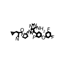 N#CC(=CC1CC1)C(=O)N1CCC[C@H]1Cn1nc(-c2ccc(Oc3cc(F)cc(F)c3)cc2F)c2c(N)ncnc21